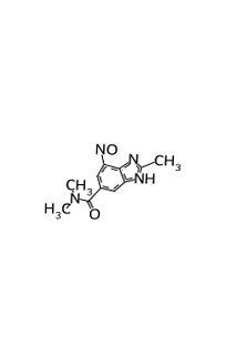 Cc1nc2c(N=O)cc(C(=O)N(C)C)cc2[nH]1